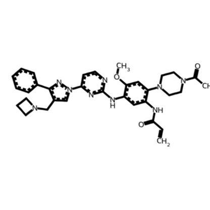 C=CC(=O)Nc1cc(Nc2nccc(-n3cc(CN4CCC4)c(-c4ccccc4)n3)n2)c(OC)cc1N1CCN(C(C)=O)CC1